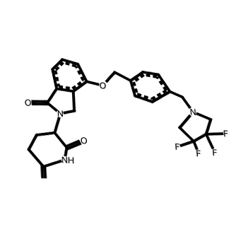 C=C1CCC(N2Cc3c(OCc4ccc(CN5CC(F)(F)C(F)(F)C5)cc4)cccc3C2=O)C(=O)N1